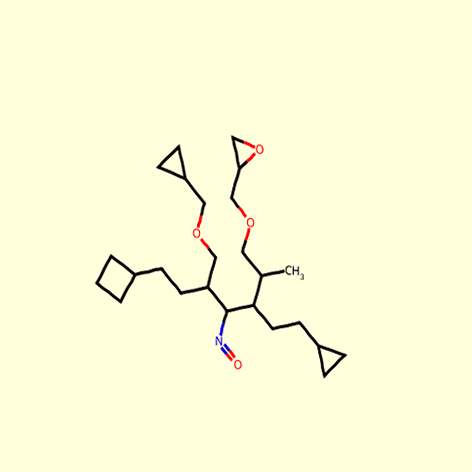 CC(COCC1CO1)C(CCC1CC1)C(N=O)C(CCC1CCC1)COCC1CC1